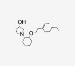 C\C=C/C=C\C(=C/C)CCO[C@@H]1CCCC[C@@H]1N1CC[C@H](O)C1